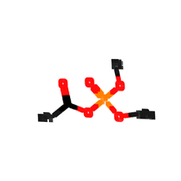 CCCCOP(=O)(OCC)OC(=O)CCC